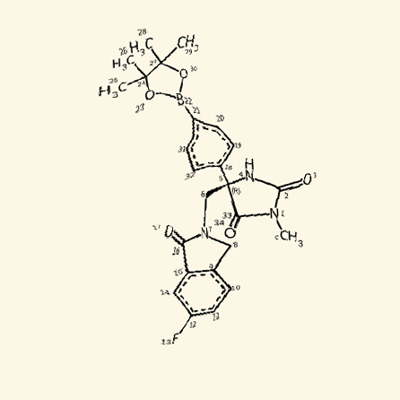 CN1C(=O)N[C@@](CN2Cc3ccc(F)cc3C2=O)(c2ccc(B3OC(C)(C)C(C)(C)O3)cc2)C1=O